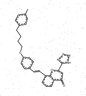 Cc1ccc(CCCCOc2ccc(C=Cc3cccc4c(=O)cc(-c5nnn[nH]5)oc34)cc2)cc1